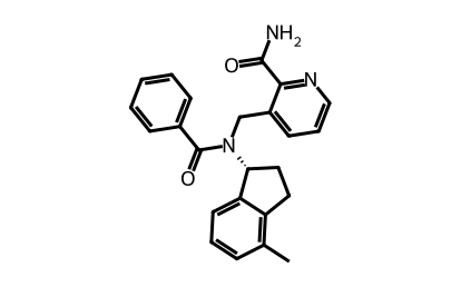 Cc1cccc2c1CC[C@H]2N(Cc1cccnc1C(N)=O)C(=O)c1ccccc1